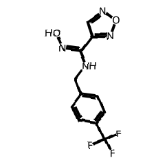 ON=C(NCc1ccc(C(F)(F)F)cc1)c1cnon1